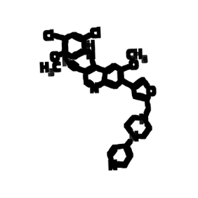 COc1cc(Nc2c(C#N)cnc3cc(-c4coc(CN5CCN(c6ccncc6)CC5)c4)c(OC)cc23)c(Cl)cc1Cl